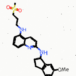 COc1ccc2c(c1)C(Nc1ccc3c(NCCCS(C)(=O)=O)cccc3n1)CC2